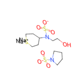 O=S(=O)([O-])N(CCO)C1CCSCC1.O=S(=O)([O-])N1CCCC1.[Na+].[Na+]